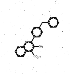 O=C(O)c1c(O)c(-c2ccc(Cc3ccccc3)cc2)nc2ccccc12